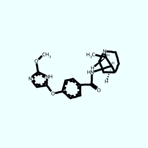 COc1ncc(Oc2ccc(C(=O)N[C@@H]3C4CCN(CC4)[C@H]3C)cc2)[nH]1